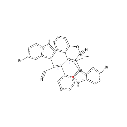 CCOc1ccncc1C(/C(=C(/C#N)c1c[nH]c2ccc(Br)cc12)c1cnccc1OC(C)C)=C(\C#N)c1c[nH]c2ccc(Br)cc12